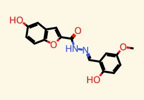 COc1ccc(O)c(/C=N/NC(=O)c2cc3cc(O)ccc3o2)c1